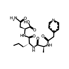 CCC[C@@H](NC(=O)[C@H](C)NC(=O)Cc1ccncc1)C(=O)N[C@@H](CC(N)=O)C(=O)O